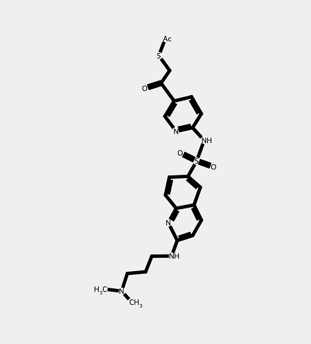 CC(=O)SCC(=O)c1ccc(NS(=O)(=O)c2ccc3nc(NCCCN(C)C)ccc3c2)nc1